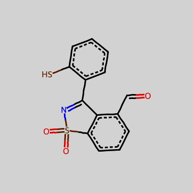 O=Cc1cccc2c1C(c1ccccc1S)=NS2(=O)=O